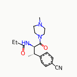 CCC(=O)N[C@@H](C(=O)N1CCN(C)CC1)[C@@H](C)c1ccc(C#N)cc1